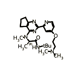 C[C@H](C(=O)NC(C)(C)C)N(C)c1nc(-c2cc(OCCN(C)C)ccn2)nc2c1CCC2